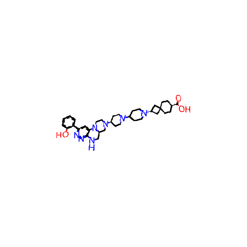 O=C(O)[C@H]1CCC2(CC1)C[C@H](N1CCC(N3CCC(N4CCN5c6cc(-c7ccccc7O)nnc6NCC5C4)CC3)CC1)C2